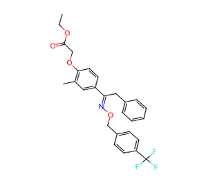 CCOC(=O)COc1ccc(/C(Cc2ccccc2)=N/OCc2ccc(C(F)(F)F)cc2)cc1C